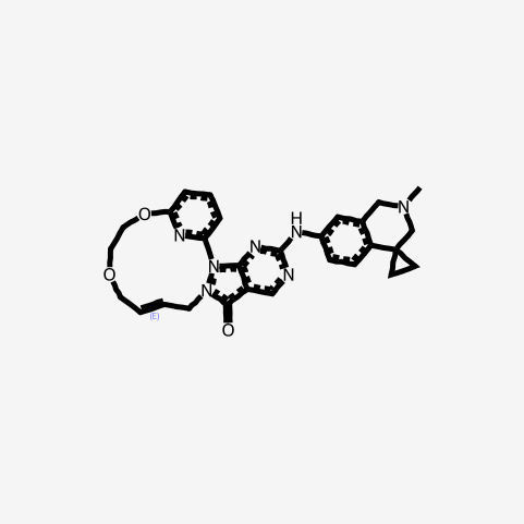 CN1Cc2cc(Nc3ncc4c(=O)n5n(c4n3)-c3cccc(n3)OCCOC/C=C/C5)ccc2C2(CC2)C1